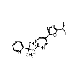 CC(C)(Nc1ncc(-c2nnc(C(F)F)o2)cn1)c1ccccn1